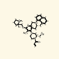 C=CC(=O)N1CCN(c2c(C#N)c(OC[C@]3(C)CCCN3C)nc3c2CCN(c2cccc4cccc(C)c24)C3)C[C@@H]1CC#N